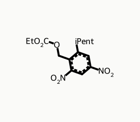 CCCC(C)c1cc([N+](=O)[O-])cc([N+](=O)[O-])c1COC(=O)OCC